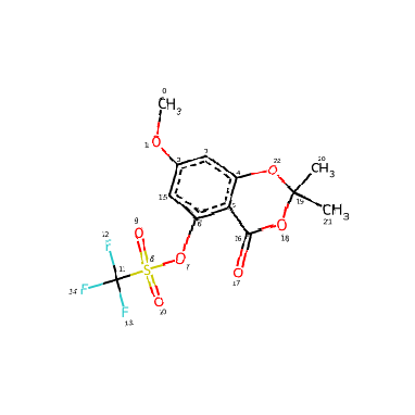 COc1cc2c(c(OS(=O)(=O)C(F)(F)F)c1)C(=O)OC(C)(C)O2